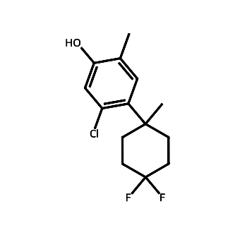 Cc1cc(C2(C)CCC(F)(F)CC2)c(Cl)cc1O